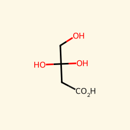 O=C(O)CC(O)(O)CO